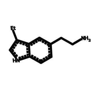 CCc1c[nH]c2ccc(CCN)cc12